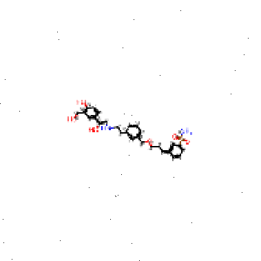 NS(=O)(=O)c1cccc(CCCOCc2cccc(CCNC[C@@H](O)c3ccc(O)c(CO)c3)c2)c1